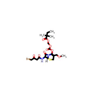 CCC(C)(C)C(=O)OCOC(=O)OC1=C(COC)CS[C@H]2C(NC(=O)CC(=O)CBr)C(=O)N12